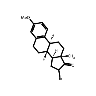 COc1ccc2c(c1)CC[C@@H]1[C@@H]2CC[C@]2(C)C(=O)C(Br)C[C@@H]12